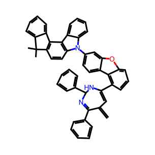 C=C1C=C(c2cccc3oc4cc(-n5c6ccccc6c6c7c(ccc65)C(C)(C)c5ccccc5-7)ccc4c23)NC(c2ccccc2)N=C1c1ccccc1